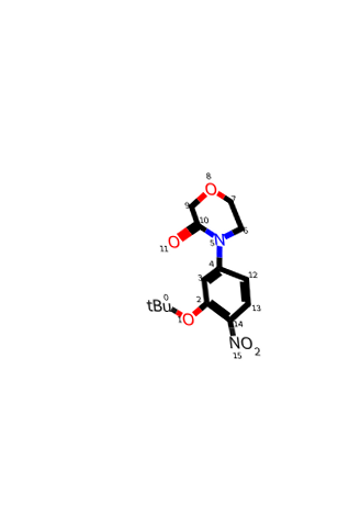 CC(C)(C)Oc1cc(N2CCOCC2=O)ccc1[N+](=O)[O-]